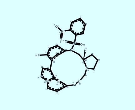 O=[N+]([O-])c1ccccc1S(=O)(=O)N1C[C@@H]2CCCN2CCNc2ccn3ncc(c3n2)-c2cc1ccc2F